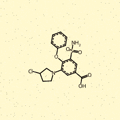 NS(=O)(=O)c1cc(C(=O)O)cc(N2CCC(Cl)C2)c1Oc1ccccc1